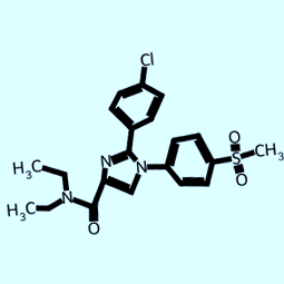 CCN(CC)C(=O)c1cn(-c2ccc(S(C)(=O)=O)cc2)c(-c2ccc(Cl)cc2)n1